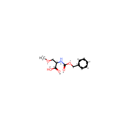 COCC(NC(=O)OCc1ccccc1)C(=O)O